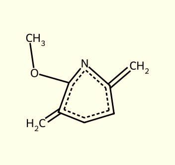 C=c1ccc(=C)c(OC)n1